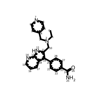 CCN(Cc1ccncc1)Cc1[nH]c2ncccc2c1-c1ccc(C(N)=O)cc1